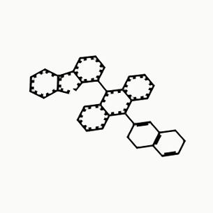 C1=CC2=C(C=C(c3c4ccccc4c(-c4cccc5c4oc4ccccc45)c4ccccc34)CC2)CC1